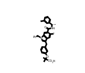 Cc1cccc([C@H](C)NC(=O)c2cc3c(cc2F)c(Cc2cccc(OC(C)(C)C(=O)O)c2)cn3CC(C)C)c1